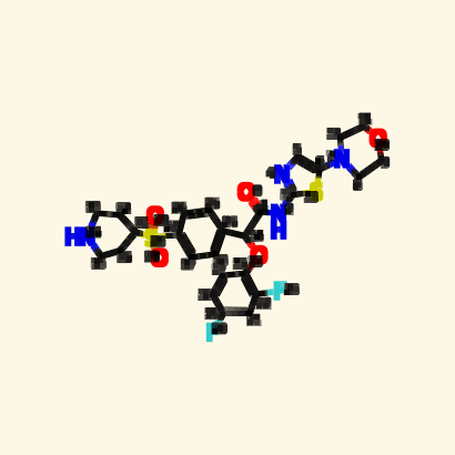 O=C(Nc1ncc(N2CCOCC2)s1)C(Oc1ccc(F)cc1F)c1ccc(S(=O)(=O)C2CCNCC2)cc1